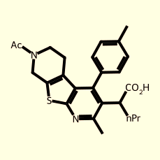 CCCC(C(=O)O)c1c(C)nc2sc3c(c2c1-c1ccc(C)cc1)CCN(C(C)=O)C3